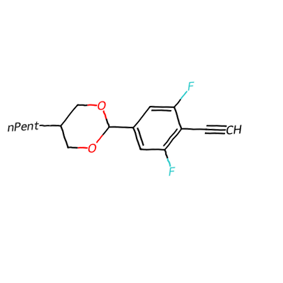 C#Cc1c(F)cc(C2OCC(CCCCC)CO2)cc1F